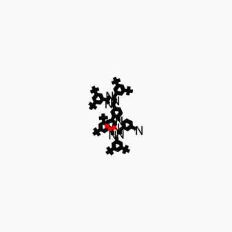 CC(C)(C)c1cc(-c2nc(-c3cc(C(C)(C)C)cc(C(C)(C)C)c3)nc(-c3ccc4c(c3)c3ccccc3n4-c3ccc(C#N)cc3-c3nc(-c4cc(C(C)(C)C)cc(C(C)(C)C)c4)nc(-c4cc(C(C)(C)C)cc(C(C)(C)C)c4)n3)n2)cc(C(C)(C)C)c1